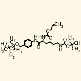 C=CCOC(=O)N[C@@H](CCCCNC(=O)OC(C)(C)C)C(=O)Nc1ccc(CO[Si](C)(C)C(C)(C)C)cc1